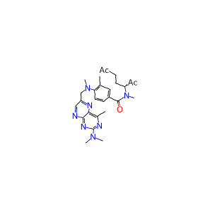 CC(=O)CC[C@@H](C(C)=O)N(C)C(=O)c1ccc(N(C)Cc2cnc3nc(N(C)C)nc(C)c3n2)c(C)c1